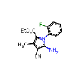 CCOC(=O)c1c(C)c(C#N)c(N)n1-c1ccccc1F